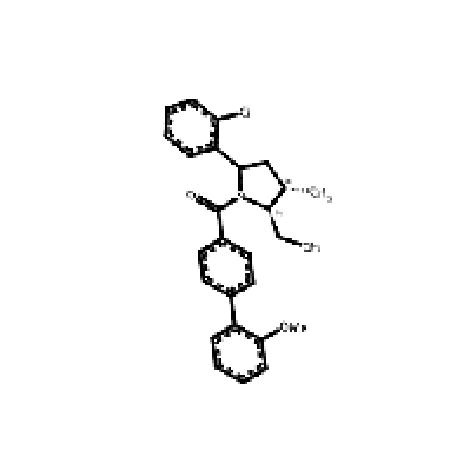 COc1ccccc1-c1ccc(C(=O)N2C(c3ccccc3Cl)C[C@H](C)[C@H]2CO)cc1